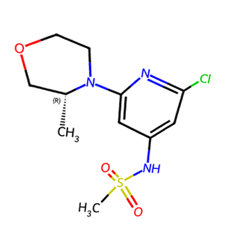 C[C@@H]1COCCN1c1cc(NS(C)(=O)=O)cc(Cl)n1